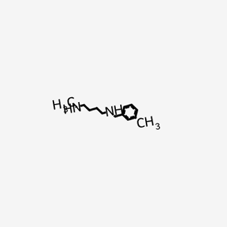 CNCCCCNCc1cccc(C)c1